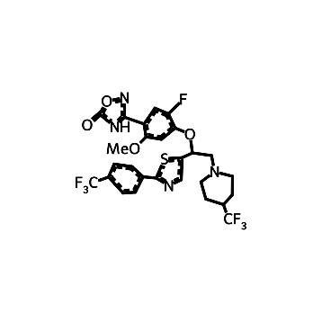 COc1cc(OC(CN2CCC(C(F)(F)F)CC2)c2cnc(-c3ccc(C(F)(F)F)cc3)s2)c(F)cc1-c1noc(=O)[nH]1